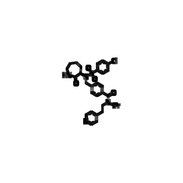 CC(C)N(CCc1ccncc1)C(=O)c1ccc(CN([C@@H]2CCCCNC2=O)S(=O)(=O)c2ccc(Cl)cc2)cc1